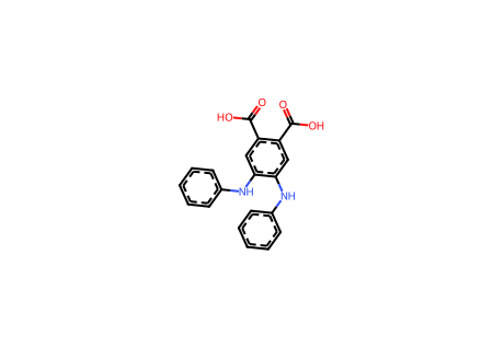 O=C(O)c1cc(Nc2ccccc2)c(Nc2ccccc2)cc1C(=O)O